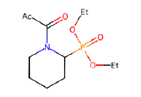 CCOP(=O)(OCC)C1CCCCN1C(=O)C(C)=O